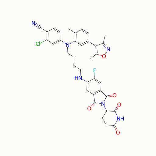 Cc1ccc(-c2c(C)noc2C)cc1N(CCCCNc1cc2c(cc1F)C(=O)N(C1CCC(=O)NC1=O)C2=O)c1ccc(C#N)c(Cl)c1